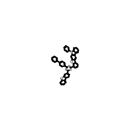 c1ccc(-c2ccc(-c3nc(-c4ccc5c(c4)oc4ccccc45)nc(-c4cccc5c4oc4cc6c(cc45)c4ccccc4n6-c4ccccc4)n3)cc2)cc1